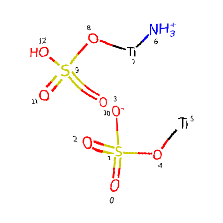 O=S(=O)([O-])[O][Ti].[NH3+][Ti][O]S(=O)(=O)O